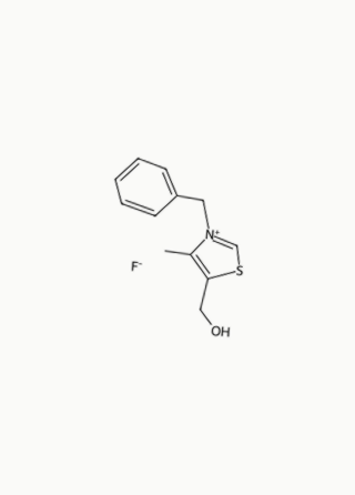 Cc1c(CO)sc[n+]1Cc1ccccc1.[F-]